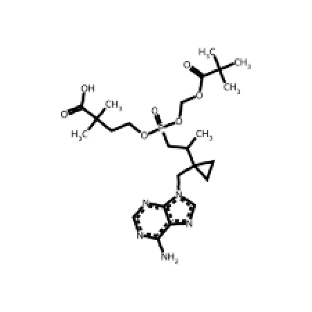 CC(CP(=O)(OCCC(C)(C)C(=O)O)OCOC(=O)C(C)(C)C)C1(Cn2cnc3c(N)ncnc32)CC1